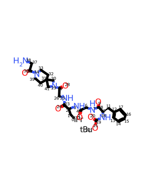 CC(C)CC(NC(=O)CNC(=O)[C@@H](Cc1ccccc1)NC(=O)OC(C)(C)C)C(=O)NCC(=O)N1CC2(CCN(C(=O)CN)CC2)C1